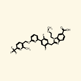 COCCn1c(Cc2cc(F)c(-c3cccc(OCc4ccc(C(F)(F)F)nc4C)n3)cc2F)nc2ccc(C(=O)O)cc21